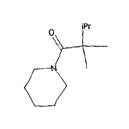 CC(C)C(C)(C)C(=O)N1CCCCC1